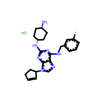 Cl.N[C@H]1CC[C@H](Nc2nc(NCc3cccc(I)c3)c3ncn(C4C=CCC4)c3n2)CC1